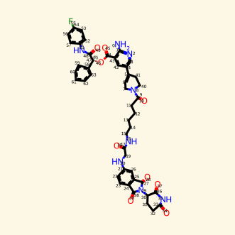 Nc1ncc(C2=CCN(C(=O)CCCCCNC(=O)CNc3ccc4c(c3)C(=O)N(C3CCC(=O)NC3=O)C4=O)CC2)cc1C(=O)O[C@@H](C(=O)Nc1ccc(F)cc1)c1ccccc1